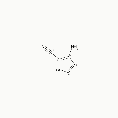 N#Cc1[se]ccc1N